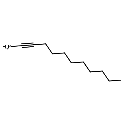 CCCCCCCCCC#CP